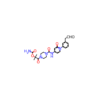 CC(C)(OC(N)=O)C(=O)N1CCN(C(=O)Nc2ccn(-c3cccc(CC=O)c3)c(=O)c2)CC1